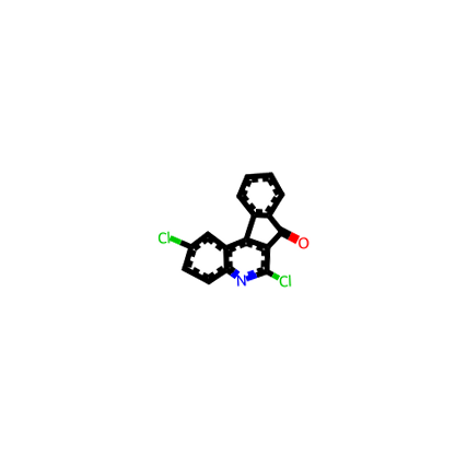 O=C1c2ccccc2-c2c1c(Cl)nc1ccc(Cl)cc21